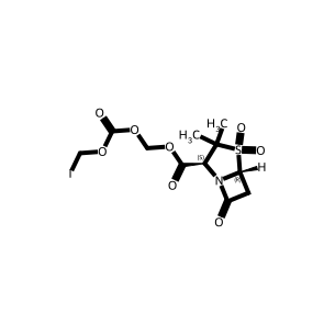 CC1(C)[C@H](C(=O)OCOC(=O)OCI)N2C(=O)C[C@H]2S1(=O)=O